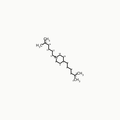 CC(C)CCCCC1CCN(CCCCC(C)C)CC1